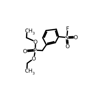 CCOP(=O)(Cc1cccc(S(=O)(=O)F)c1)OCC